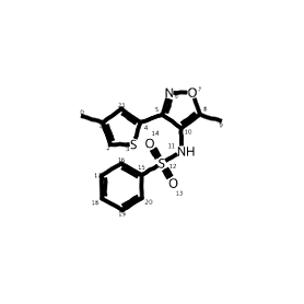 Cc1csc(-c2noc(C)c2NS(=O)(=O)c2ccccc2)c1